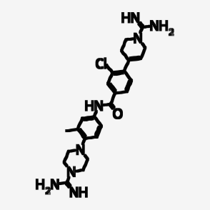 Cc1cc(NC(=O)c2ccc(C3=CCN(C(=N)N)CC3)c(Cl)c2)ccc1N1CCN(C(=N)N)CC1